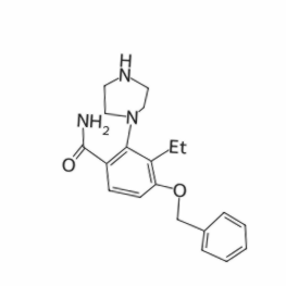 CCc1c(OCc2ccccc2)ccc(C(N)=O)c1N1CCNCC1